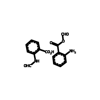 Nc1ccccc1C(=O)OC=O.O=CNc1ccccc1C(=O)O